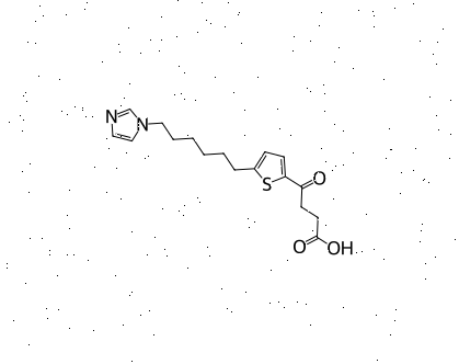 O=C(O)CCC(=O)c1ccc(CCCCCCn2ccnc2)s1